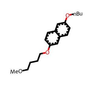 CCCCOc1ccc2cc(OCCCCOC)ccc2c1